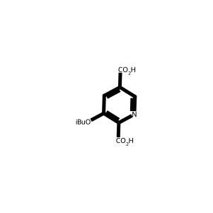 CC(C)COc1cc(C(=O)O)cnc1C(=O)O